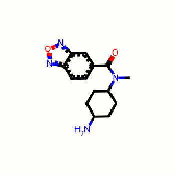 CN(C(=O)c1ccc2nonc2c1)C1CCC(N)CC1